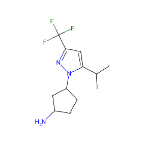 CC(C)c1cc(C(F)(F)F)nn1C1CCC(N)C1